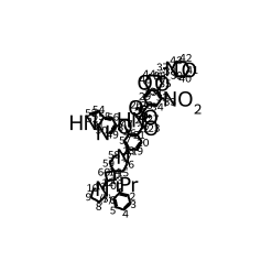 CC(C)c1ccccc1[C@@H]1CCCN1C1CC2(CCN(c3ccc(C(=O)NS(=O)(=O)c4cc5c(c([N+](=O)[O-])c4)O[C@@H](CN4CCOCC4)CO5)c(Oc4cnc5[nH]ccc5c4)c3)CC2)C1